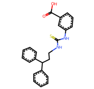 O=C(O)c1cccc(NC(=S)NCCC(c2ccccc2)c2ccccc2)c1